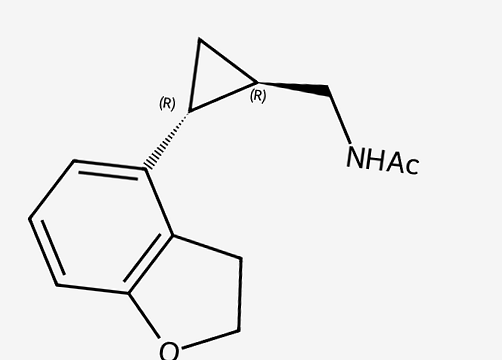 CC(=O)NC[C@@H]1C[C@H]1c1cccc2c1CCO2